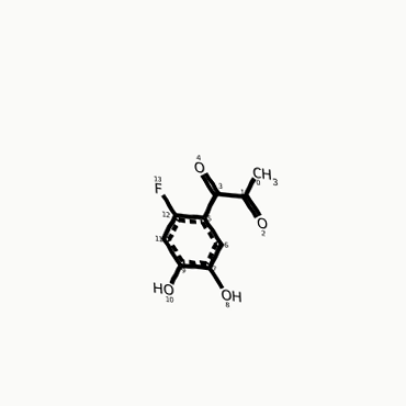 CC(=O)C(=O)c1cc(O)c(O)cc1F